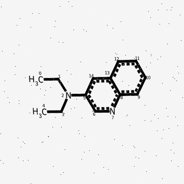 CCN(CC)c1[c]nc2ccccc2c1